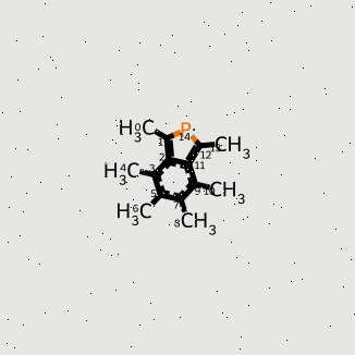 CC1=c2c(C)c(C)c(C)c(C)c2=C(C)[P]1